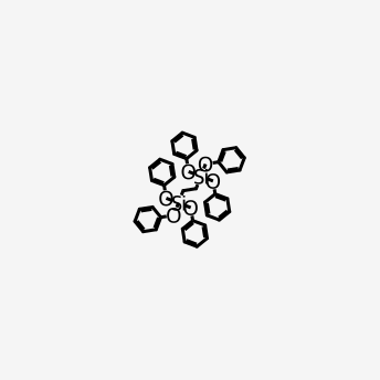 c1ccc(O[Si](CC[Si](Oc2ccccc2)(Oc2ccccc2)Oc2ccccc2)(Oc2ccccc2)Oc2ccccc2)cc1